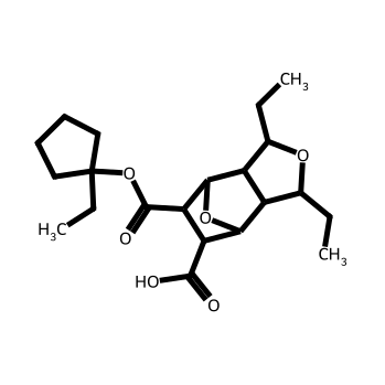 CCC1OC(CC)C2C3OC(C(C(=O)O)C3C(=O)OC3(CC)CCCC3)C12